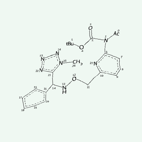 CC(=O)N(C(=O)OC(C)(C)C)c1cccc(CONC(c2ccccc2)c2nnnn2C)n1